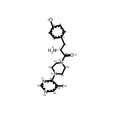 N[C@H](Cc1ccc(Cl)cc1)C(=O)N1CCN(c2ncncc2I)CC1